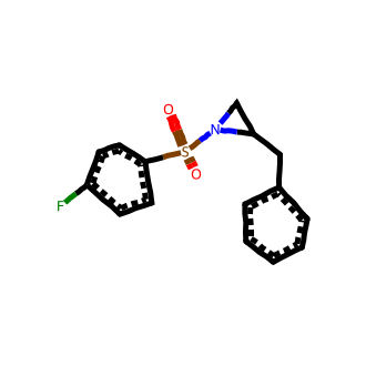 O=S(=O)(c1ccc(F)cc1)N1CC1Cc1ccccc1